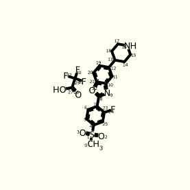 CS(=O)(=O)c1ccc(-c2nc3cc(C4CCNCC4)ccc3o2)c(F)c1.O=C(O)C(F)(F)F